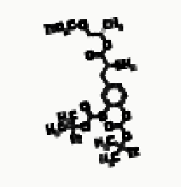 CCOC(=O)OC[C@H](C)OC(=O)[C@@H](N)Cc1ccc(OC(=O)OC(C)(C)CC)c(OC(=O)OC(C)(C)CC)c1